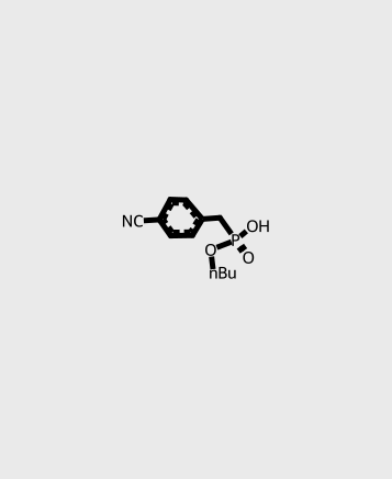 CCCCOP(=O)(O)Cc1ccc(C#N)cc1